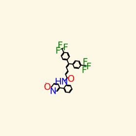 COc1ccc(-c2ccccc2NC(=O)C=CC=C(c2ccc(C(F)(F)F)cc2)c2ccc(C(F)(F)F)cc2)cn1